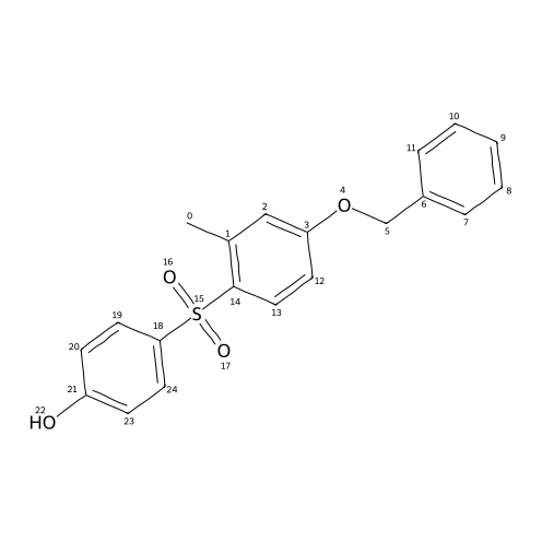 Cc1cc(OCc2ccccc2)ccc1S(=O)(=O)c1ccc(O)cc1